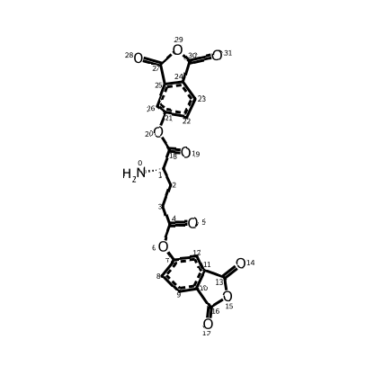 N[C@@H](CCC(=O)Oc1ccc2c(c1)C(=O)OC2=O)C(=O)Oc1ccc2c(c1)C(=O)OC2=O